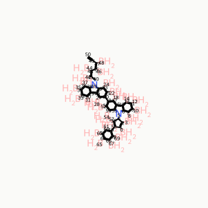 BC1=C(B)C(n2c3c(B)c(B)c(B)c(B)c3c3c(B)c(-c4c(B)c(B)c5c(c4B)c4c(B)c(B)c(B)c(B)c4n5C/C(B)=C(B)\C(B)=C(\B)C#C)c(B)c(B)c32)C(B)=C1c1c(B)c(B)c(B)c(B)c1B